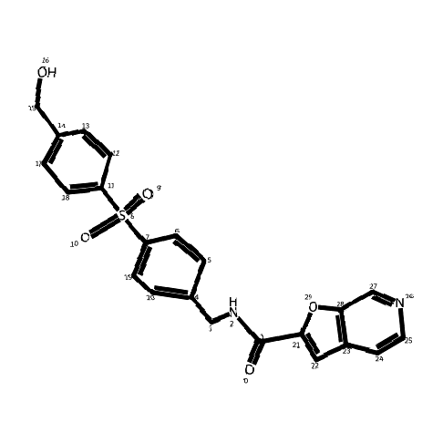 O=C(NCc1ccc(S(=O)(=O)c2ccc(CO)cc2)cc1)c1cc2ccncc2o1